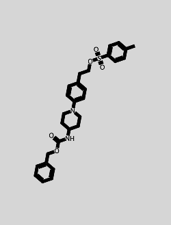 Cc1ccc(S(=O)(=O)OCCc2ccc(N3CCC(NC(=O)OCc4ccccc4)CC3)cc2)cc1